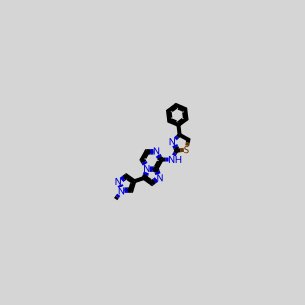 Cn1cc(-c2cnc3c(NC4=NC(c5ccccc5)CS4)nccn23)cn1